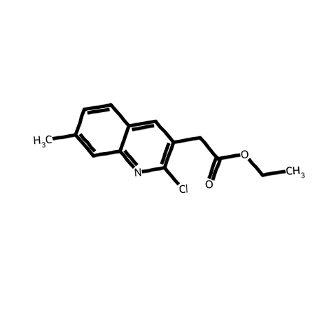 CCOC(=O)Cc1cc2ccc(C)cc2nc1Cl